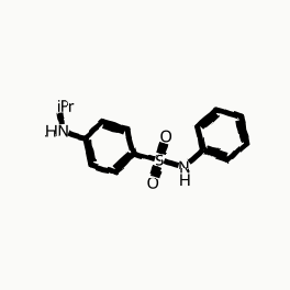 CC(C)Nc1ccc(S(=O)(=O)Nc2ccccc2)cc1